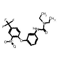 CCN(CC)C(=O)Nc1cccc(Oc2ccc(C(F)(F)F)cc2[N+](=O)[O-])c1